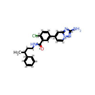 CC(CCNC(=O)c1cc(-c2ccn3nc(N)nc3c2)ccc1Cl)c1ccccc1